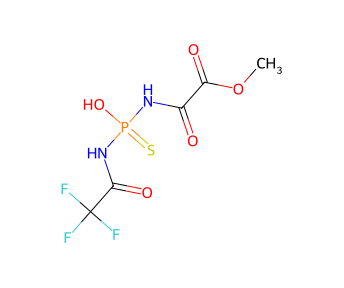 COC(=O)C(=O)NP(O)(=S)NC(=O)C(F)(F)F